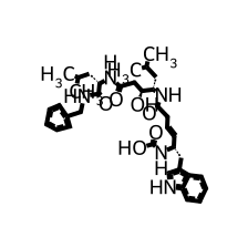 CC(C)C[C@H](NC(=O)C[C@H](O)[C@H](CC(C)C)NC(=O)C/C=C/[C@H](Cc1c[nH]c2ccccc12)NC(=O)O)C(=O)NCc1ccccc1